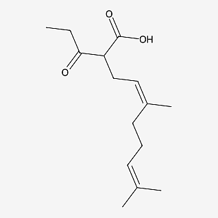 CCC(=O)C(CC=C(C)CCC=C(C)C)C(=O)O